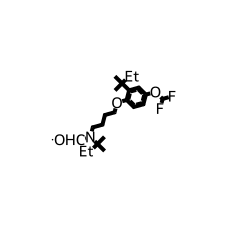 CCC(C)(C)c1cc(OC(F)F)ccc1OCCCCN([C]=O)C(C)(C)CC